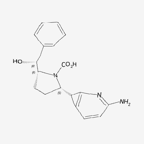 Nc1ccc2c(n1)C2[C@@H]1CC[C@H]([C@H](O)c2ccccc2)N1C(=O)O